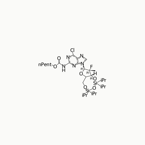 CCCCCOC(=O)Nc1nc(Cl)c2ncn([C@@H]3OC4CO[Si](C(C)C)(C(C)C)O[Si](C(C)C)(C(C)C)O[C@H]4[C@@]3(C)F)c2n1